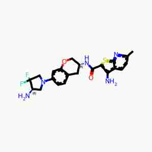 Cc1ccc2c(N)c(C(=O)N[C@H]3COc4cc(N5C[C@@H](N)C(F)(F)C5)ccc4C3)sc2n1